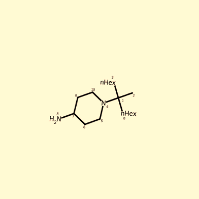 CCCCCCC(C)(CCCCCC)N1CCC(N)CC1